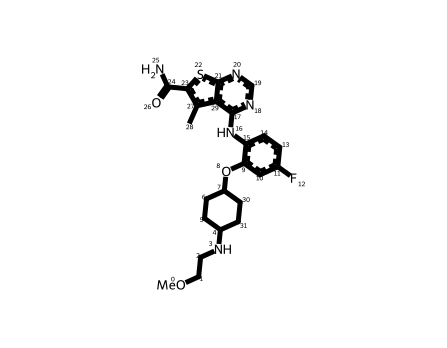 COCCNC1CCC(Oc2cc(F)ccc2Nc2ncnc3sc(C(N)=O)c(C)c23)CC1